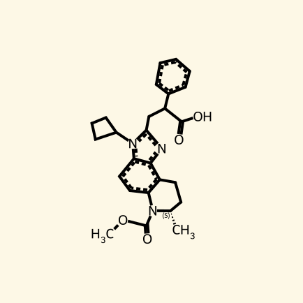 COC(=O)N1c2ccc3c(nc(CC(C(=O)O)c4ccccc4)n3C3CCC3)c2CC[C@@H]1C